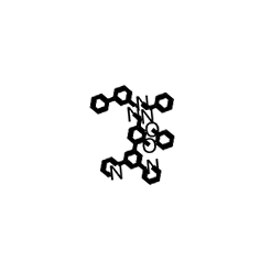 C1=CC2Oc3c(-c4cc(-c5ccccn5)cc(-c5ccccn5)c4)ccc(-c4nc(-c5ccccc5)nc(-c5cccc(-c6ccccc6)c5)n4)c3OC2C=C1